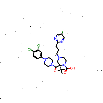 CC(C)(C)[C@]1(C(=O)N2CCN(c3ccc(Cl)c(Cl)c3)CC2)CN(CCCc2ncc(F)cn2)CCN1C(=O)O